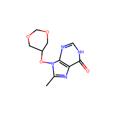 Cc1nc2c(=O)[nH]cnc2n1OC1COCOC1